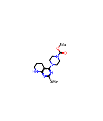 CSc1nc2c(c(N3CCN(C(=O)OC(C)(C)C)CC3)n1)CCCN2